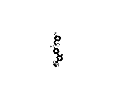 Cc1ccc(-c2ncco2)cc1-c1ccc(NC(=O)Cc2cccc(F)c2)cc1